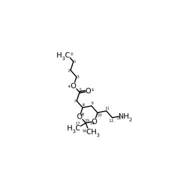 CCCCOC(=O)CC1CC(CCN)OC(C)(C)O1